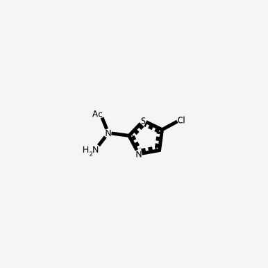 CC(=O)N(N)c1ncc(Cl)s1